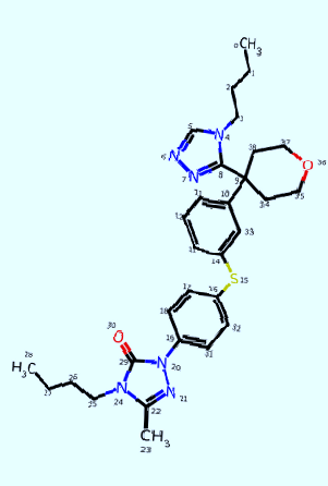 CCCCn1cnnc1C1(c2cccc(Sc3ccc(-n4nc(C)n(CCCC)c4=O)cc3)c2)CCOCC1